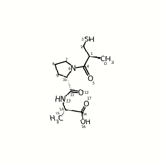 C[C@H](CS)C(=O)N1CCC[C@H]1C(=O)N[C@@H](C)C(=O)O